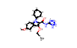 CCOc1c(C(=O)Nc2nnn[nH]2)n(-c2ccccc2)c2ccc(OC)cc12.[Na]